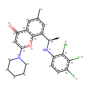 Cc1cc([C@@H](C)Nc2ccc(F)c(F)c2Br)c2oc(N3CCCCC3)cc(=O)c2c1